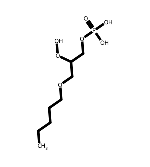 CCCCCOCC(COP(=O)(O)O)OO